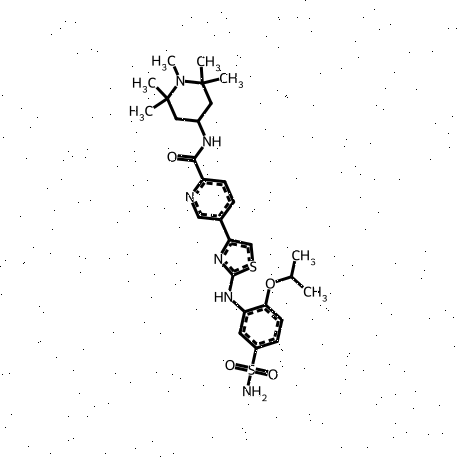 CC(C)Oc1ccc(S(N)(=O)=O)cc1Nc1nc(-c2ccc(C(=O)NC3CC(C)(C)N(C)C(C)(C)C3)nc2)cs1